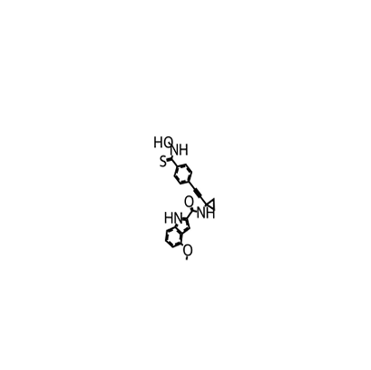 COc1cccc2[nH]c(C(=O)NC3(C#Cc4ccc(C(=S)NO)cc4)CC3)cc12